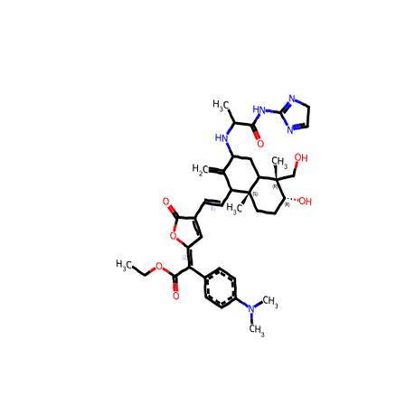 C=C1C(NC(C)C(=O)NC2=NCC=N2)CC2[C@](C)(CC[C@@H](O)[C@@]2(C)CO)C1/C=C/C1=CC(=C(/C(=O)OCC)c2ccc(N(C)C)cc2)/OC1=O